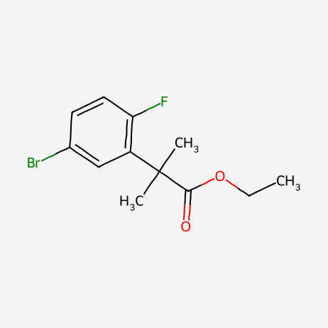 CCOC(=O)C(C)(C)c1cc(Br)ccc1F